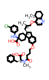 C[C@@H](COc1ccnc2c1[C@H](C)CCC2)C[C@H]1Cc2ccc(OCCCC(=O)N(C)[C@H](Cc3ccccc3)C(=O)O)cc2C12CCC(Nc1cccc(Cl)c1)(C(=O)O)CC2